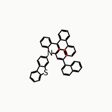 c1cc(-c2cccc3ccccc23)cc(N(c2ccc3c(c2)sc2ccccc23)c2ccccc2-c2cc3ccccc3c3ccccc23)c1